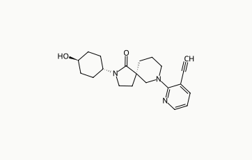 C#Cc1cccnc1N1CCC[C@@]2(CCN([C@H]3CC[C@H](O)CC3)C2=O)C1